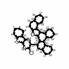 Clc1nc2sc3ccccc3c2nc1-c1cc2ccccc2c2c3ccccc3c3c(oc4ccc5ccccc5c43)c12